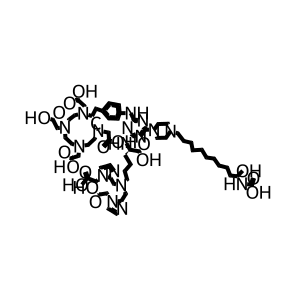 O=C(O)CN1CCN(CC(=O)O)CCN(CC(=O)O)C(Cc2ccc(Nc3nc(N[C@@H](CCCCN(Cc4nccn4CC(=O)O)Cc4nccn4CC(=O)O)C(=O)O)nc(N4CCN(CCCCCCCCCCC(O)NC(=O)O)CC4)n3)cc2)CN(CC(=O)O)CC1